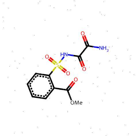 COC(=O)c1ccccc1S(=O)(=O)NC(=O)C(N)=O